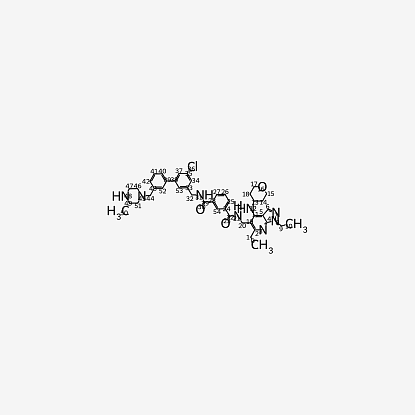 CCc1nc2c(cnn2CC)c(NC2CCOCC2)c1CNC(=O)c1cccc(C(=O)NCc2cc(Cl)cc(-c3cccc(CN4CCN[C@@H](C)C4)c3)c2)c1